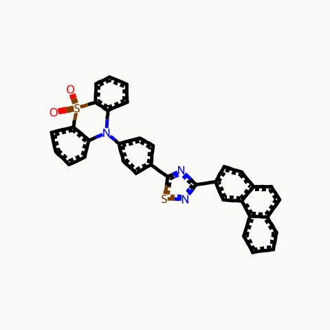 O=S1(=O)c2ccccc2N(c2ccc(-c3nc(-c4ccc5ccc6ccccc6c5c4)ns3)cc2)c2ccccc21